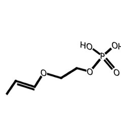 CC=COCCOP(=O)(O)O